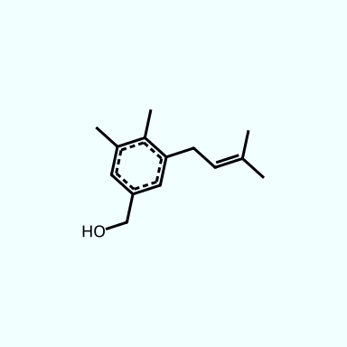 CC(C)=CCc1cc(CO)cc(C)c1C